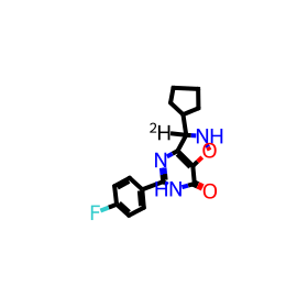 [2H]C1(C2CCCC2)NOc2c1nc(-c1ccc(F)cc1)[nH]c2=O